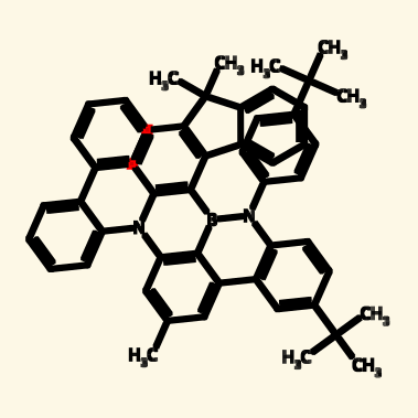 Cc1cc2c3c(c1)N(c1ccccc1-c1ccccc1)c1ccc4c(c1B3N(c1ccc(C(C)(C)C)cc1)c1ccc(C(C)(C)C)cc1-2)-c1ccccc1C4(C)C